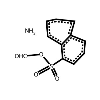 N.O=COS(=O)(=O)c1cccc2ccccc12